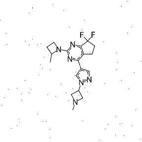 CC1CCN1c1nc(-c2cnn(C3CN(C)C3)c2)c2c(n1)C(F)(F)CC2